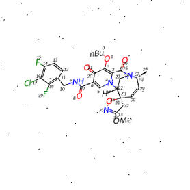 CCCCOc1c2n(cc(C(=O)NCc3ccc(F)c(Cl)c3F)c1=O)[C@@H]1CN(C2=O)[C@@H](C)C=C[C@]12CC(OC)=NO2